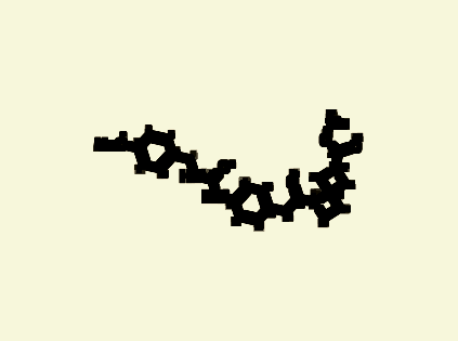 COc1ccc(CNC(=O)Nc2ccc(CC(=O)N3CCC34CN(C(=O)OC(C)(C)C)C4)cc2)cc1